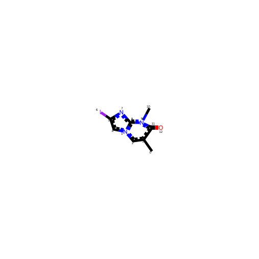 Cc1cn2cc(I)nc2n(C)c1=O